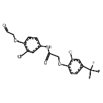 O=CCOc1ccc(NC(=O)COc2ccc(C(F)(F)F)cc2Cl)cc1Cl